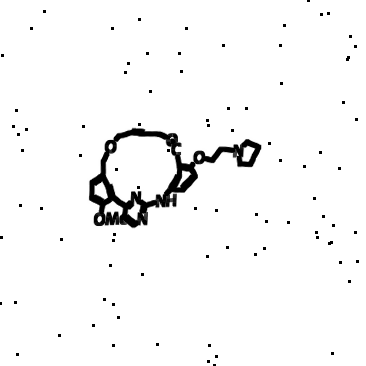 COc1ccc2cc1-c1ccnc(n1)Nc1ccc(OCCN3CCCC3)c(c1)COC/C=C/COC2